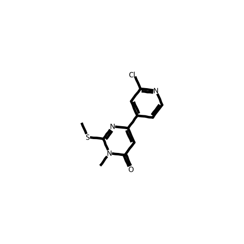 CSc1nc(-c2ccnc(Cl)c2)cc(=O)n1C